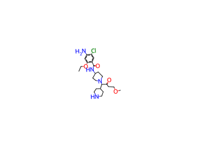 CCOc1cc(N)c(Cl)cc1C(=O)NC1CCN(C(C(=O)CCOC)C2CCNCC2)CC1